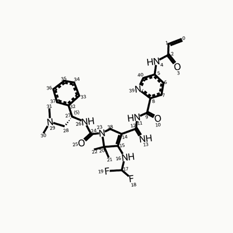 C=CC(=O)Nc1ccc(C(=O)NC(=N)C2=C(NC(F)F)C(C)(C)N(C(=O)N[C@H](CN(C)C)c3ccccc3)C2)nc1